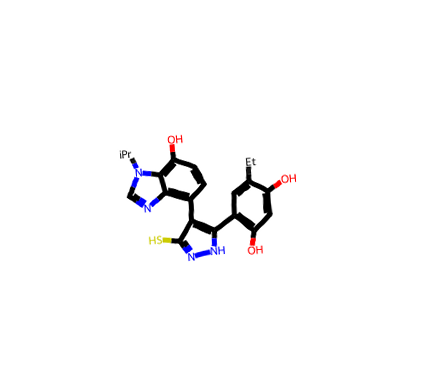 CCc1cc(-c2[nH]nc(S)c2-c2ccc(O)c3c2ncn3C(C)C)c(O)cc1O